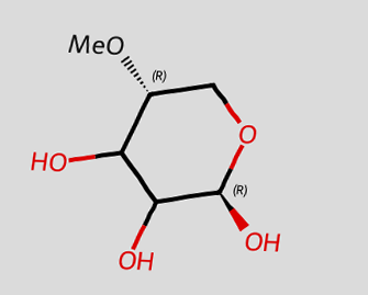 CO[C@@H]1CO[C@@H](O)C(O)C1O